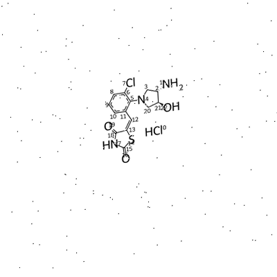 Cl.N[C@H]1CN(c2c(Cl)cccc2/C=C2/SC(=O)NC2=O)C[C@@H]1O